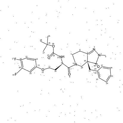 CN1N=C2CCN(C(=O)[C@@H](CCOc3ccc(F)c(F)c3)NC(=O)OC(C)(C)C)C[C@@]2(Cc2ccccc2)C1=O